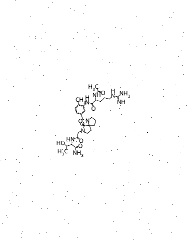 CC(=O)N[C@@H](CCCNC(=N)N)C(=O)Nc1cc(C(=O)N2CCC[C@]23CCN(CC(=O)N[C@H](C(N)=O)C(C)O)C3=O)ccc1C